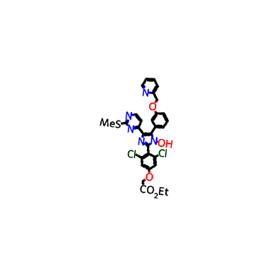 CCOC(=O)COc1cc(Cl)c(-c2nc(-c3ccnc(SC)n3)c(-c3cccc(OCc4ccccn4)c3)n2O)c(Cl)c1